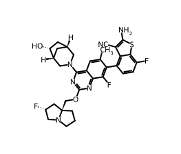 Cc1cc2c(N3C[C@@H]4C[C@H](C3)[C@H](O)C4)nc(OC[C@@]34CCCN3C[C@H](F)C4)nc2c(F)c1-c1ccc(F)c2sc(N)c(C#N)c12